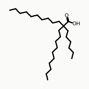 CCCCCCCCCCC(CCCCCC)(CCCCCCCCCC)C(=O)O